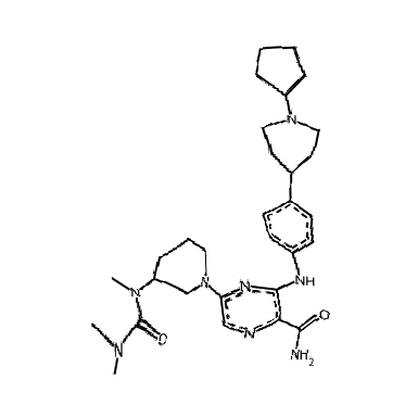 CN(C)C(=O)N(C)C1CCCN(c2cnc(C(N)=O)c(Nc3ccc(C4CCN(C5CCCC5)CC4)cc3)n2)C1